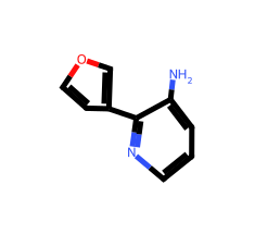 Nc1cccnc1-c1ccoc1